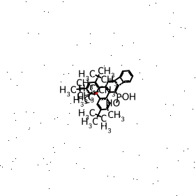 Cc1cc(-c2cc3c(c(P(O)O)c2-c2cc(C)c(C(C)(C)C)cc2C(C)(C)C)-c2ccccc2-3)c(C(C)(C)C)cc1C(C)(C)C